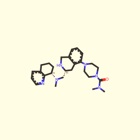 CN(C)C(=O)N1CCN(c2cccc3c2C[C@H](CN(C)[C@H]2CCCc4cccnc42)NC3)CC1